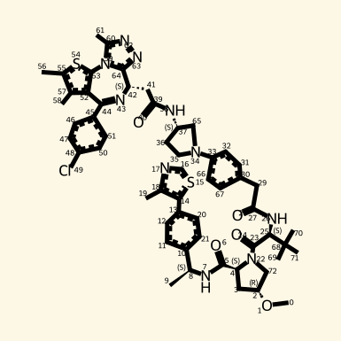 CO[C@@H]1C[C@@H](C(=O)N[C@@H](C)c2ccc(-c3scnc3C)cc2)N(C(=O)[C@@H](NC(=O)Cc2ccc(N3CC[C@H](NC(=O)C[C@@H]4N=C(c5ccc(Cl)cc5)c5c(sc(C)c5C)-n5c(C)nnc54)C3)cc2)C(C)(C)C)C1